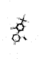 C=C[C@@H]1CNCCN1c1ccc(C(F)(F)F)cc1Br